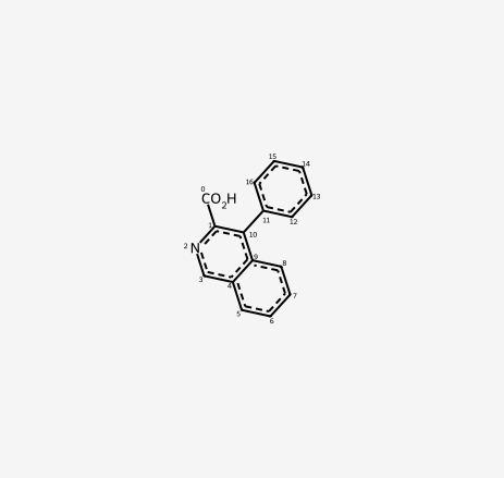 O=C(O)c1ncc2ccccc2c1-c1ccccc1